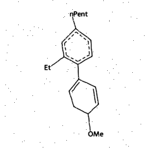 CCCCCc1ccc(C2=CCC(OC)C=C2)c(CC)c1